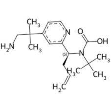 C=CC[C@@H](c1cc(C(C)(C)CN)ccn1)N(C(=O)O)C(C)(C)C